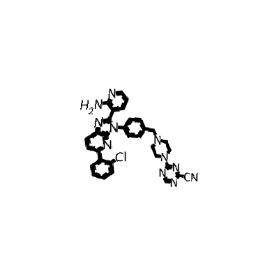 N#Cc1ncnc(N2CCN(Cc3ccc(-n4c(-c5cccnc5N)nc5ccc(-c6ccccc6Cl)nc54)cc3)CC2)n1